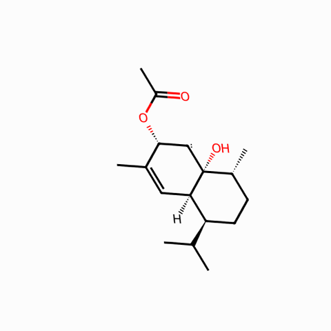 CC(=O)O[C@@H]1[C][C@@]2(O)[C@H](C)CC[C@@H](C(C)C)[C@H]2C=C1C